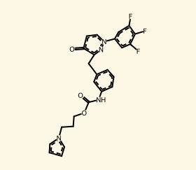 O=C(Nc1cccc(Cc2nn(-c3cc(F)c(F)c(F)c3)ccc2=O)c1)OCCCn1cccc1